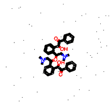 CN(C)CC(OC(CN(C)C)c1ccccc1C(O)C(=O)c1ccccc1)c1ccccc1C(O)C(=O)c1ccccc1